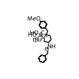 COc1ccc(C[C@]2(C(=O)O)CC[C@@H](NOCc3ccccc3)C[N+]2(C(=O)O)C(C)(C)C)cc1